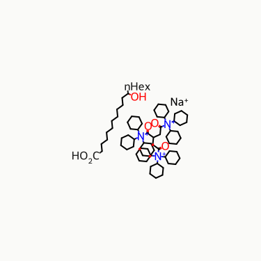 CCCCCCC(O)CCCCCCCCCCC(=O)O.O=C(CC(CC(=O)[N+](C1CCCCC1)(C1CCCCC1)C1CCCCC1)C(=O)[N+](C1CCCCC1)(C1CCCCC1)C1CCCCC1)[N+](C1CCCCC1)(C1CCCCC1)C1CCCCC1.[Na+]